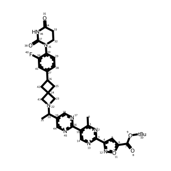 Cc1nc(-c2cc(C(=O)OC(C)(C)C)on2)ncc1-c1ncc(C(C)N2CC3(CC(c4ccc(N5CCC(=O)NC5=O)c(F)c4)C3)C2)cn1